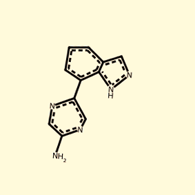 Nc1cnc(-c2cccc3cn[nH]c23)cn1